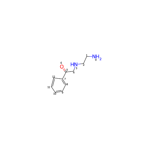 NCCNCC(=O)c1ccccc1